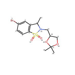 CC1c2cc(Br)ccc2S(=O)(=O)N1CC1COC(C)(C)O1